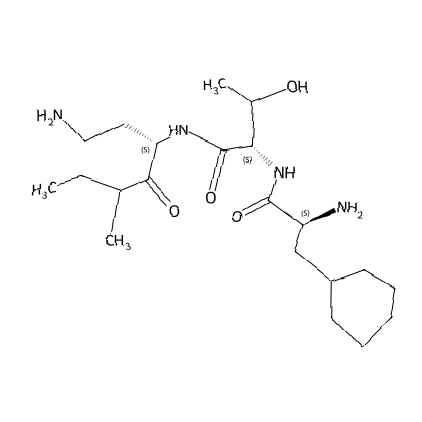 CCC(C)C(=O)[C@H](CCN)NC(=O)[C@@H](NC(=O)[C@@H](N)CC1CCCCC1)C(C)O